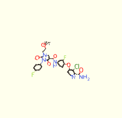 CC(C)OCCn1cc(C(=O)Nc2ccc(Oc3ccnc(C(N)=O)c3Cl)c(F)c2)c(=O)n(-c2ccc(F)cc2)c1=O